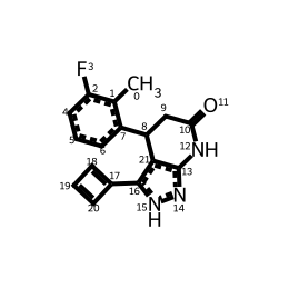 Cc1c(F)cccc1C1CC(=O)Nc2n[nH]c(C3=CC=C3)c21